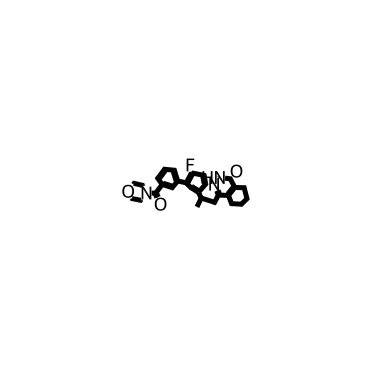 CC(Cc1n[nH]c(=O)c2c1CCCC2)c1ccc(F)c(-c2cccc(C(=O)N3CCOCC3)c2)c1